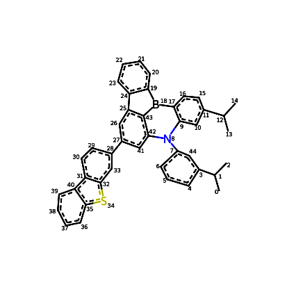 CC(C)c1cccc(N2c3cc(C(C)C)ccc3B3c4ccccc4-c4cc(-c5ccc6c(c5)sc5ccccc56)cc2c43)c1